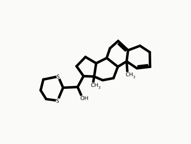 CC12C=CCCC1=CCC1C2CCC2(C)C(C(O)C3SCCCS3)CCC12